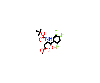 COC(=O)CC(NC(=O)OC(C)(C)C)C(O)c1cc(F)c(F)cc1F